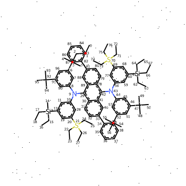 CCCC(C)(C)c1cc(N(c2cc([Si](C)(CC)CC)cc(S(CC)(CC)CC)c2)c2c3ccc(-c4ccccc4)cc3c(N(c3cc(C(C)(C)C)cc(C(C)(C)C)c3)c3cc([Si](CC)(CC)CC)cc(S(CC)(CC)CC)c3)c3ccc(-c4ccccc4)cc23)cc(C(C)(C)C)c1